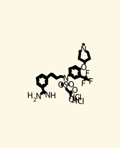 CN1CCC(Oc2ccc(N(C/C=C/c3cccc(C(=N)N)c3)S(=O)(=O)CC(=O)O)cc2C(F)(F)F)CC1.Cl.Cl